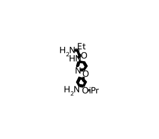 CC[C@@H](N)C(=O)Nc1ccc(Oc2ccc(N)c(OC(C)C)c2)nc1